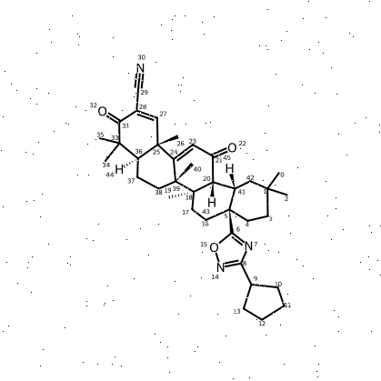 CC1(C)CC[C@]2(c3nc(C4CCCC4)no3)CC[C@]3(C)[C@H](C(=O)C=C4[C@@]5(C)C=C(C#N)C(=O)C(C)(C)[C@@H]5CC[C@]43C)[C@@H]2C1